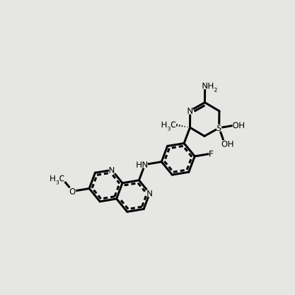 COc1cnc2c(Nc3ccc(F)c([C@]4(C)CS(O)(O)CC(N)=N4)c3)nccc2c1